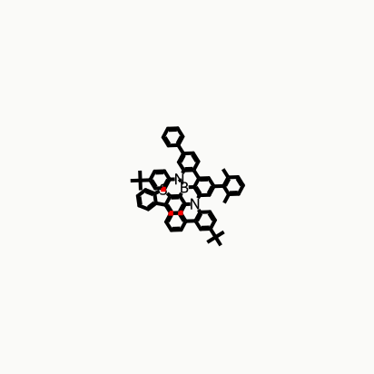 Cc1cccc(C)c1-c1cc2c3c(c1)N(c1ccc(C(C)(C)C)cc1-c1ccccc1)c1ccc4c(sc5ccccc54)c1B3N(c1ccc(C(C)(C)C)cc1)c1cc(-c3ccccc3)ccc1-2